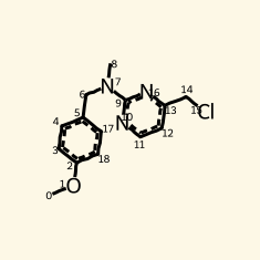 COc1ccc(CN(C)c2nccc(CCl)n2)cc1